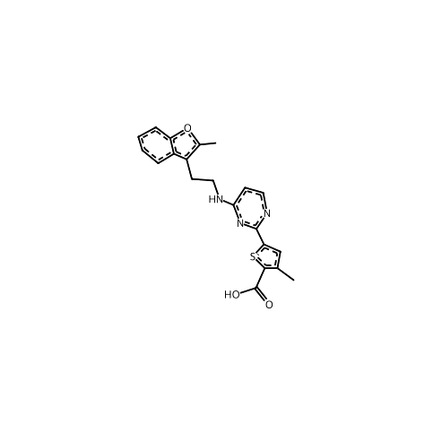 Cc1cc(-c2nccc(NCCc3c(C)oc4ccccc34)n2)sc1C(=O)O